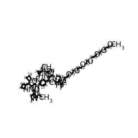 CCn1nccc1C(=O)N[C@H](C(=O)Nc1ccc([C@H](C)[C@@H](NC(=O)N(C)C2CC2)C(=O)N2CCC(OCCOCCOCCOCCOCCOCCOCCOC)(C(F)(F)F)CC2)cc1F)C(C1CCC1)C1CCC1